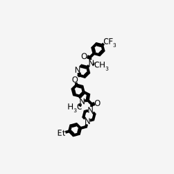 CCc1ccc(CN2CCN(C(=O)c3cc4cc(Oc5ccc(N(C)C(=O)c6ccc(C(F)(F)F)cc6)cn5)ccc4n3C)CC2)cc1